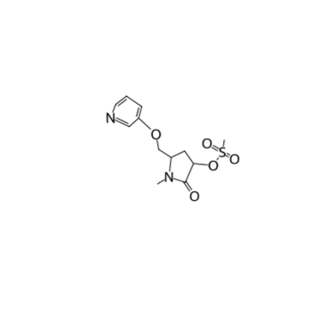 CN1C(=O)C(OS(C)(=O)=O)CC1COc1cccnc1